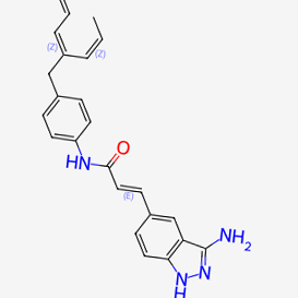 C=C/C=C(\C=C/C)Cc1ccc(NC(=O)/C=C/c2ccc3[nH]nc(N)c3c2)cc1